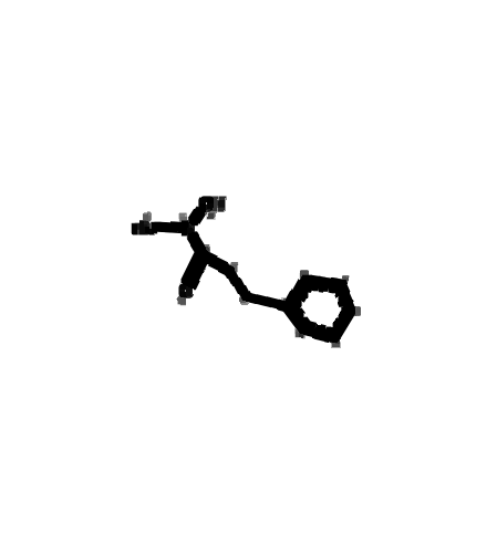 CCCCN(O)C(=O)CCc1ccccc1